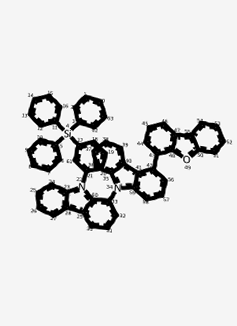 c1ccc([Si](c2ccccc2)(c2ccccc2)c2cccc(-n3c4ccccc4c4cccc(-n5c6ccccc6c6c(-c7cccc8c7oc7ccccc78)cccc65)c43)c2)cc1